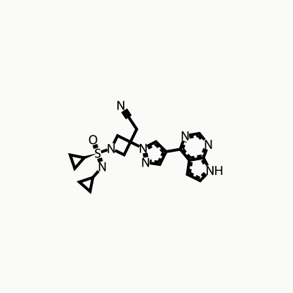 N#CCC1(n2cc(-c3ncnc4[nH]ccc34)cn2)CN([S@@](=O)(=NC2CC2)C2CC2)C1